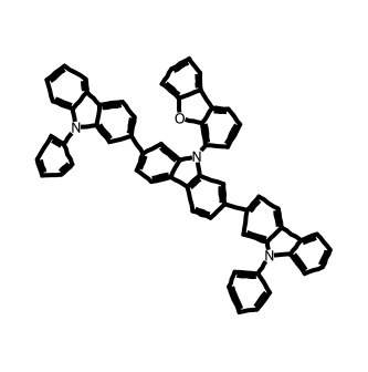 c1ccc(-n2c3ccccc3c3ccc(-c4ccc5c6ccc(-c7ccc8c9ccccc9n(-c9ccccc9)c8c7)cc6n(-c6cccc7c6oc6ccccc67)c5c4)cc32)cc1